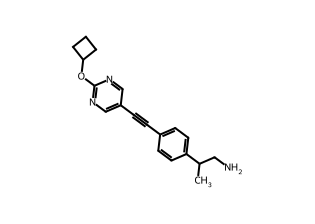 CC(CN)c1ccc(C#Cc2cnc(OC3CCC3)nc2)cc1